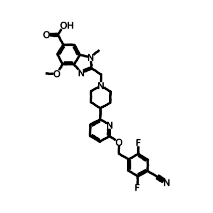 COc1cc(C(=O)O)cc2c1nc(CN1CCC(c3cccc(OCc4cc(F)c(C#N)cc4F)n3)CC1)n2C